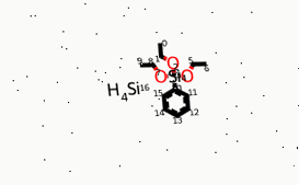 CCO[Si](OCC)(OCC)c1ccccc1.[SiH4]